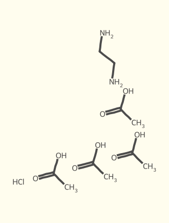 CC(=O)O.CC(=O)O.CC(=O)O.CC(=O)O.Cl.NCCN